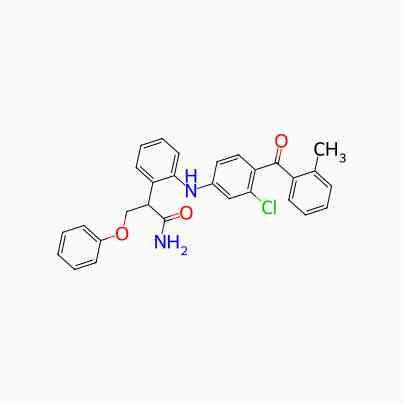 Cc1ccccc1C(=O)c1ccc(Nc2ccccc2C(COc2ccccc2)C(N)=O)cc1Cl